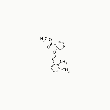 COC(=O)c1ccccc1OCSc1cccc(C)c1C